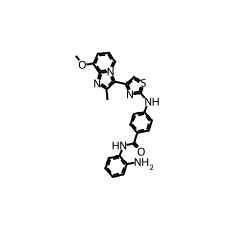 COc1cccn2c(-c3csc(Nc4ccc(C(=O)Nc5ccccc5N)cc4)n3)c(C)nc12